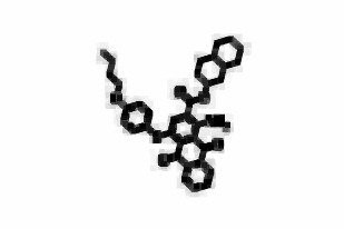 CCCCOc1ccc(Sc2cc(C(=O)OC3CCC4CCCCC4C3)c(N)c3c2C(=O)c2ccccc2C3=O)cc1